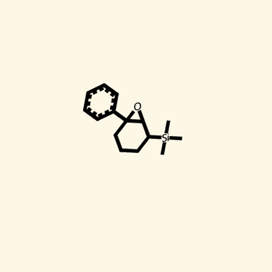 C[Si](C)(C)C1CCCC2(c3ccccc3)OC12